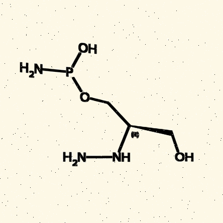 NN[C@H](CO)COP(N)O